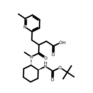 Cc1cccc(CC(CC(=O)O)C(=O)N(C)[C@H]2CCCC[C@@H]2NC(=O)OC(C)(C)C)n1